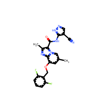 Cc1cc(OCc2c(F)cccc2F)c2nc(C)c(C(=O)Nc3[nH]ncc3C#N)n2c1